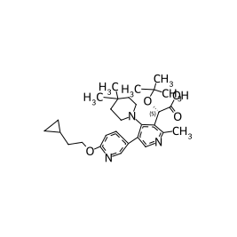 Cc1ncc(-c2ccc(OCCC3CC3)nc2)c(N2CCC(C)(C)CC2)c1[C@H](OC(C)(C)C)C(=O)O